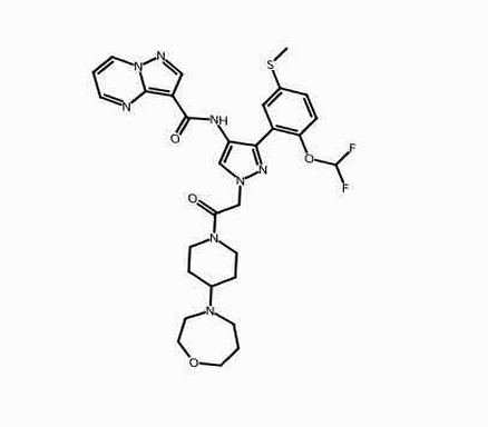 CSc1ccc(OC(F)F)c(-c2nn(CC(=O)N3CCC(N4CCCOCC4)CC3)cc2NC(=O)c2cnn3cccnc23)c1